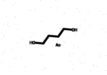 OCCCCO.[Au]